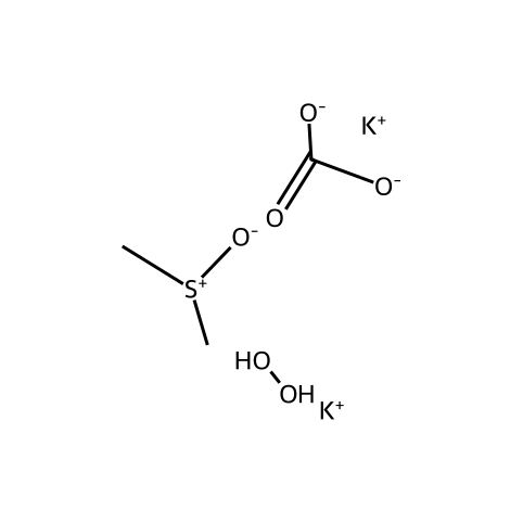 C[S+](C)[O-].O=C([O-])[O-].OO.[K+].[K+]